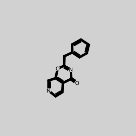 O=c1nc(Cc2ccccc2)oc2cnccc12